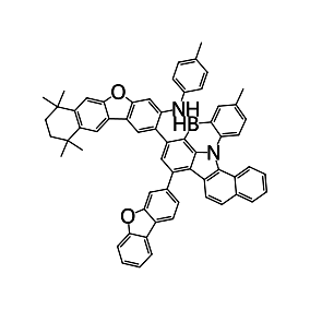 Cc1ccc(Nc2cc3oc4cc5c(cc4c3cc2-c2cc(-c3ccc4c(c3)oc3ccccc34)c3c4ccc6ccccc6c4n4c3c2Bc2cc(C)ccc2-4)C(C)(C)CCC5(C)C)cc1